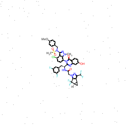 COc1ccc(CN(c2nn(C)c3c(-n4c([C@H](Cc5cc(F)cc(F)c5)NC(=O)Cn5nc(C(F)F)c6c5C(F)(F)[C@@H]5CC65)nc5cc(O)ccc5c4=O)ccc(Cl)c23)S(C)(=O)=O)cc1